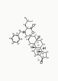 CC(C)C[C@H]1C(=O)O[C@@]2(CC[C@@]3(C)[C@@H](CC[C@@H]4[C@@H]3CC[C@]3(C)C(=O)CC[C@@H]43)C2)CN1Cc1ccccc1